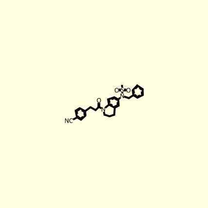 CS(=O)(=O)N(Cc1ccccc1)c1ccc2c(c1)CCCN2C(=O)CCc1ccc(C#N)cc1